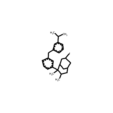 CC(C)c1cccc(Cc2cccc(C3(C)C(C)CC4CC(I)CC3C4)c2)c1